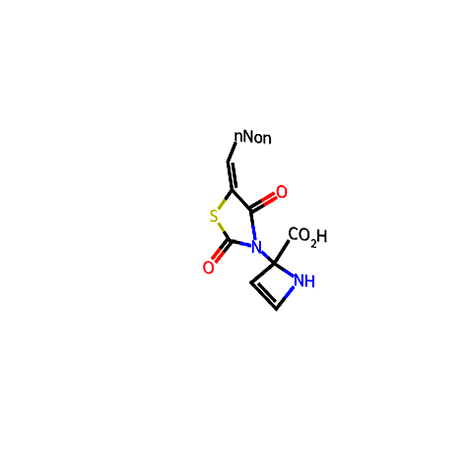 CCCCCCCCCC=C1SC(=O)N(C2(C(=O)O)C=CN2)C1=O